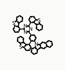 c1ccc2cc3c(cc2c1)c1ccccc1n3-c1ccc(-c2nc(-c3cccc4sc5ccccc5c34)nc(-c3cccc4sc5ccccc5c34)n2)cc1-c1cccc2sc3ccccc3c12